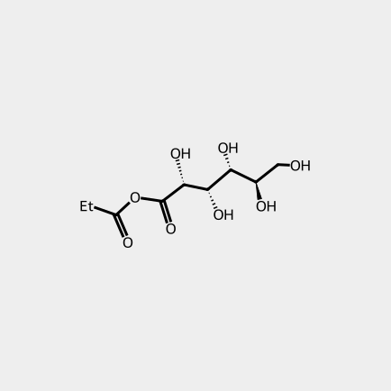 CCC(=O)OC(=O)[C@H](O)[C@@H](O)[C@H](O)[C@H](O)CO